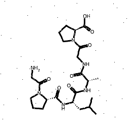 CC(C)C[C@H](NC(=O)[C@@H]1CCCN1C(=O)CN)C(=O)N[C@@H](C)C(=O)NCC(=O)N1CCC[C@H]1C(=O)O